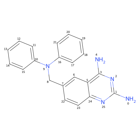 Nc1nc(N)c2cc(CN(c3ccccc3)c3ccccc3)ccc2n1